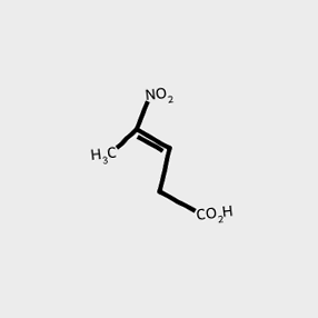 CC(=CCC(=O)O)[N+](=O)[O-]